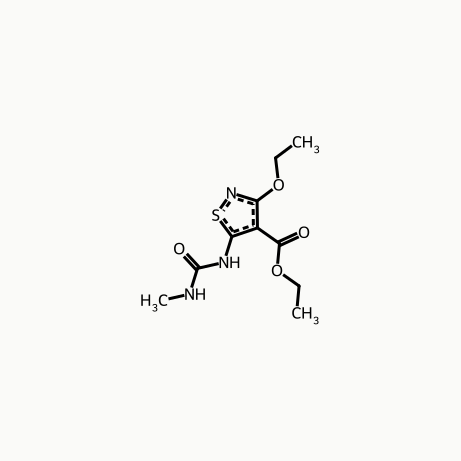 CCOC(=O)c1c(OCC)nsc1NC(=O)NC